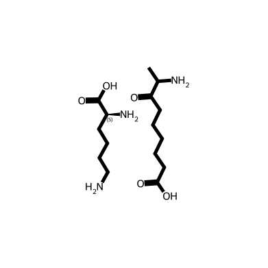 CC(N)C(=O)CCCCCC(=O)O.NCCCC[C@H](N)C(=O)O